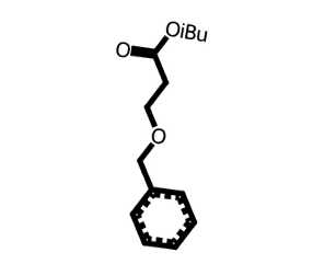 CC(C)COC(=O)CCOCc1ccccc1